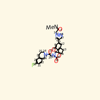 CNC(=O)Cn1cc(-c2ccc3c(c2)CCC32OC(=O)N(CC(=O)N3CCCc4cc(F)ccc4C3)C2=O)cn1